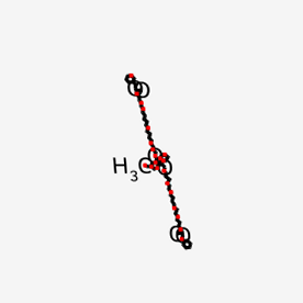 CCc1ccc2c(OCCCCCCCCCCCCCCCCCCCCC(=O)OCC3CCCCC3)c3ccccc3c(OCCCCCCCCCCCCCCCCCCCCC(=O)OCC3CCCCC3)c2c1